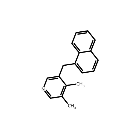 Cc1cncc(Cc2cccc3ccccc23)c1C